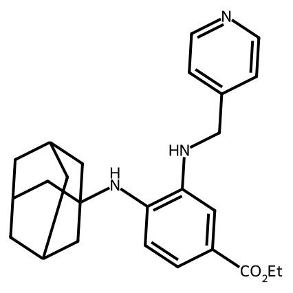 CCOC(=O)c1ccc(NC23CC4CC(CC(C4)C2)C3)c(NCc2ccncc2)c1